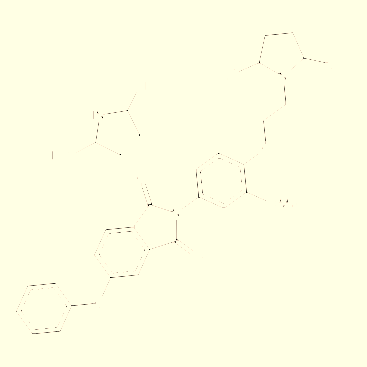 CC1CCC(C)N1.COc1cc(N2C(=O)c3ccc(Oc4ccccc4)cc3C2=O)ccc1OCCN1C(C)CCC1C